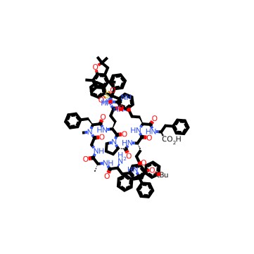 Cc1c(C)c(S(=O)(=O)NC(=N)NCCC[C@H](NC(=O)[C@H](CCC(=O)NC(c2ccccc2)(c2ccccc2)c2ccccc2)NC(=O)[C@@H]2CCCN2C(=O)[C@H](CCC(=O)NC(c2ccccc2)(c2ccccc2)c2ccccc2)NC(=O)[C@H](Cc2ccccc2)N(C)C(=O)CNC(=O)[C@@H](C)NC(=O)[C@@H](N)Cc2ccc(OC(C)(C)C)cc2)C(=O)N[C@@H](Cc2ccccc2)C(=O)O)c(C)c2c1OC(C)(C)C2